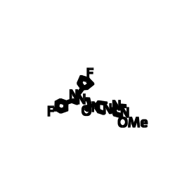 COc1cc(N2CCN(C(=O)Cn3cc(-c4ccc(F)cc4)nc3-c3ccc(F)cc3)CC2)ncn1